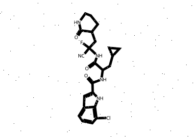 N#CC(F)(CC1CCCNC1=O)NC(=O)C(CC1CC1)NC(=O)c1cc2cccc(Cl)c2[nH]1